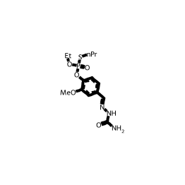 CCCSP(=O)(OCC)Oc1ccc(C=NNC(N)=O)cc1OC